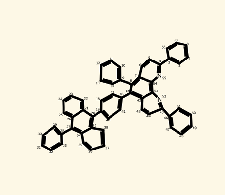 c1ccc(-c2ccc3c(-c4ccccc4)c(-c4ccc(-c5c6ccccc6c(-c6ccccc6)c6ccccc56)cc4)c4ccc(-c5ccccc5)nc4c3n2)cc1